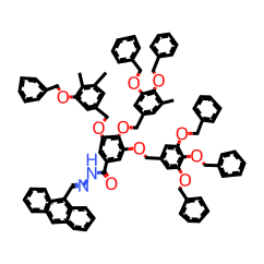 Cc1cc(COc2cc(C(=O)N/N=C/c3c4ccccc4cc4ccccc34)cc(OCc3cc(OCc4ccccc4)c(OCc4ccccc4)c(OCc4ccccc4)c3)c2OCc2cc(C)c(OCc3ccccc3)c(OCc3ccccc3)c2)cc(OCc2ccccc2)c1C